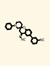 [C-]#[N+]/N=C1/CC2(CCCN(c3ccccc3)C2)Oc2ccc(-c3cccc([N+]#[C-])c3)cc21